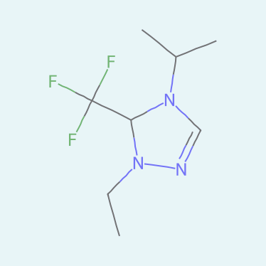 CCN1N=CN(C(C)C)C1C(F)(F)F